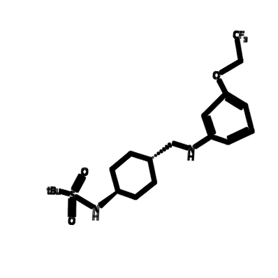 CC(C)(C)S(=O)(=O)N[C@H]1CC[C@H](CNc2cccc(OCC(F)(F)F)c2)CC1